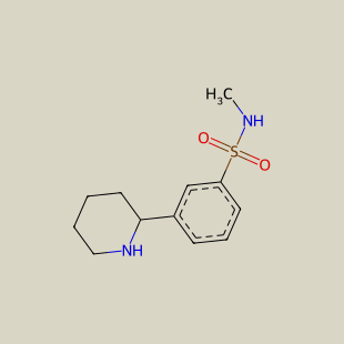 CNS(=O)(=O)c1cccc(C2CCCCN2)c1